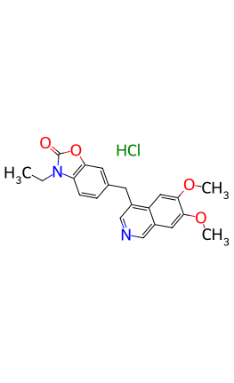 CCn1c(=O)oc2cc(Cc3cncc4cc(OC)c(OC)cc34)ccc21.Cl